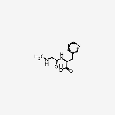 CNCC(=O)N[C@@H](Cc1cccnc1)C(=O)O